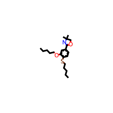 CCCCCOc1cc(C2=NC(C)(C)CO2)ccc1SCCCCC